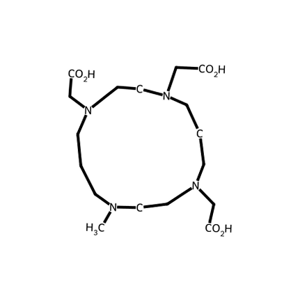 CN1CCCN(CC(=O)O)CCN(CC(=O)O)CCCN(CC(=O)O)CC1